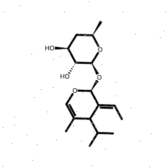 C/C=C1\C(C(C)C)C(C)=CO[C@H]1O[C@@H]1O[C@H](C)C[C@H](O)[C@H]1O